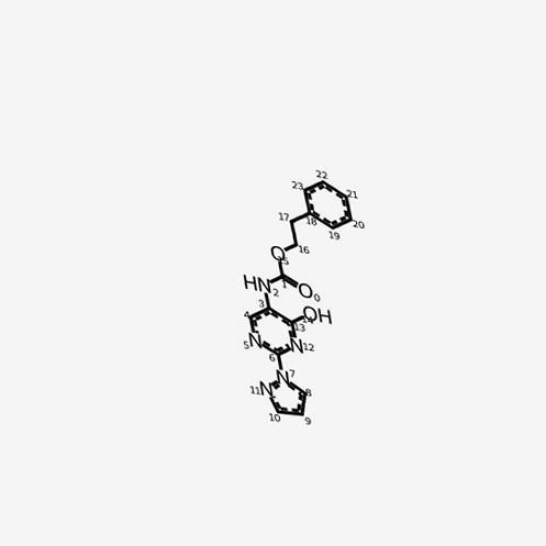 O=C(Nc1cnc(-n2cccn2)nc1O)OCCc1ccccc1